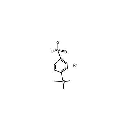 C[Si](C)(C)c1ccc(S(=O)(=O)[O-])cc1.[K+]